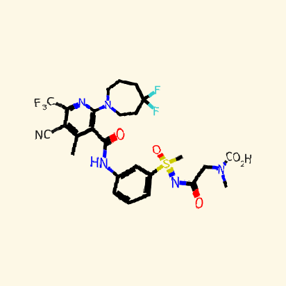 Cc1c(C#N)c(C(F)(F)F)nc(N2CCCC(F)(F)CC2)c1C(=O)Nc1cccc(S(C)(=O)=NC(=O)CN(C)C(=O)O)c1